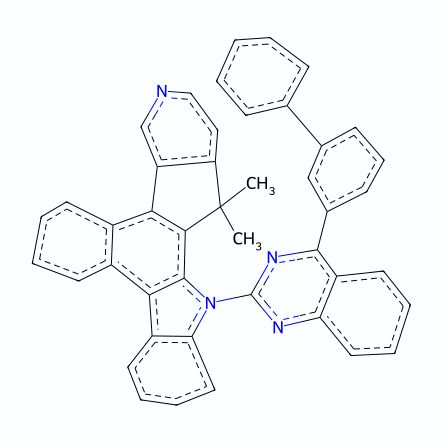 CC1(C)c2ccncc2-c2c1c1c(c3ccccc23)c2ccccc2n1-c1nc(-c2cccc(-c3ccccc3)c2)c2ccccc2n1